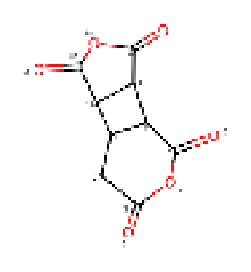 O=C1CC2C(C(=O)O1)C1C(=O)OC(=O)C21